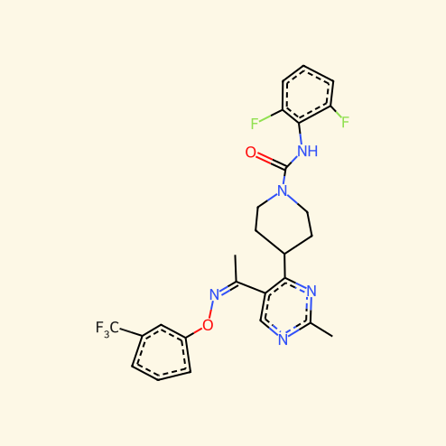 CC(=NOc1cccc(C(F)(F)F)c1)c1cnc(C)nc1C1CCN(C(=O)Nc2c(F)cccc2F)CC1